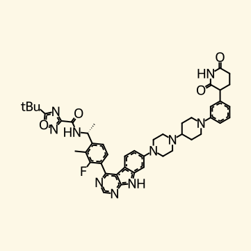 Cc1c([C@@H](C)NC(=O)c2noc(C(C)(C)C)n2)ccc(-c2ncnc3[nH]c4cc(N5CCN(C6CCN(c7cccc(C8CCC(=O)NC8=O)c7)CC6)CC5)ccc4c23)c1F